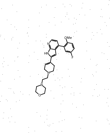 COc1ccc(F)cc1-c1ccnc2[nH]c(C3=CCN(CCN4CCOCC4)CC3)cc12